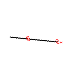 CCCCCCCCC=CCCCCCCCCCCCC(=O)OCCCCCCCCCCCCCCCCCCCCCCCCCCCCCCCCC(=O)O